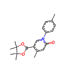 Cc1ccc(-n2cc(B3OC(C)(C)C(C)(C)O3)c(C)cc2=O)cc1